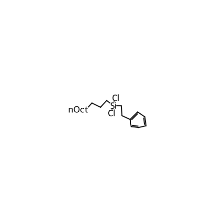 CCCCCCCCCCC[Si](Cl)(Cl)CCc1ccccc1